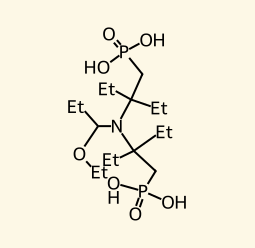 CCOC(CC)N(C(CC)(CC)CP(=O)(O)O)C(CC)(CC)CP(=O)(O)O